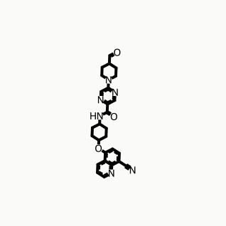 N#Cc1ccc(OC2CCC(NC(=O)c3cnc(N4CCC(C=O)CC4)cn3)CC2)c2cccnc12